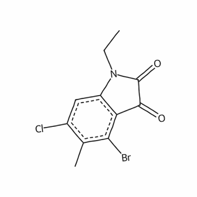 CCN1C(=O)C(=O)c2c1cc(Cl)c(C)c2Br